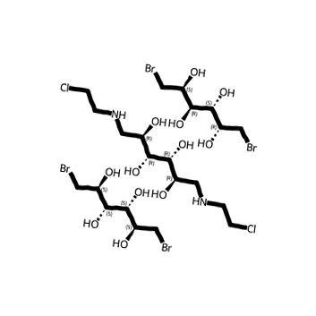 O[C@@H]([C@H](O)[C@H](O)CBr)[C@H](O)CBr.O[C@@H]([C@H](O)[C@H](O)CNCCCl)[C@H](O)CNCCCl.O[C@H]([C@H](O)[C@@H](O)CBr)[C@H](O)CBr